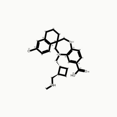 CNC[C@@H]1CC[C@H]1CN1CC2(CCCc3cc(Cl)ccc32)COc2ccc(C(=O)O)cc21